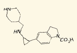 O=C(O)N1CCc2cc(C3CC3NCC3CCNCC3)ccc21